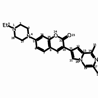 CCN1CCN(c2ccc3cc(-c4cc5c(C)nc(C)cn5c4)c(=O)oc3c2)CC1